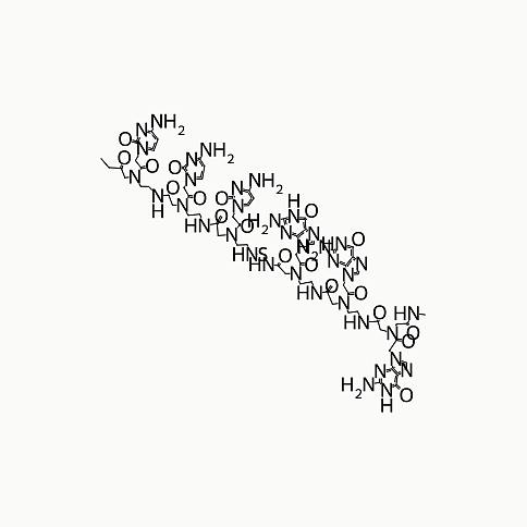 CCC(=O)CN(CCNC(=O)CN(CCNC(=O)CN(CCNSNC(=O)CN(CCNC(=O)CN(CCNC(=O)CN(CC(=O)NC)C(=O)Cn1cnc2c(=O)[nH]c(N)nc21)C(=O)Cn1cnc2c(=O)[nH]c(N)nc21)C(=O)Cn1cnc2c(=O)[nH]c(N)nc21)C(=O)Cn1ccc(N)nc1=O)C(=O)Cn1ccc(N)nc1=O)C(=O)Cn1ccc(N)nc1=O